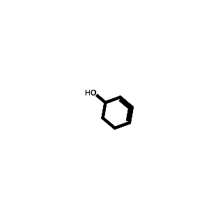 OC1C=C=CCC1